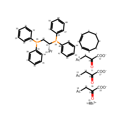 C1=C\CCCC\C=C/1.CC(=O)CC(=O)C(=O)[O-].CC(=O)CC(=O)C(=O)[O-].CC(=O)CC(=O)C(=O)[O-].CC(C)[C@H](CP(c1ccccc1)c1ccccc1)P(c1ccccc1)c1ccccc1.[Rh+3]